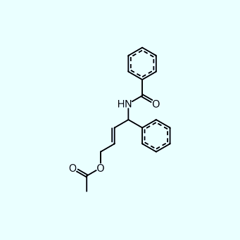 CC(=O)OCC=CC(NC(=O)c1ccccc1)c1ccccc1